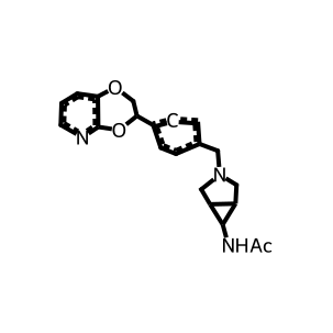 CC(=O)NC1C2CN(Cc3ccc(C4COc5cccnc5O4)cc3)CC21